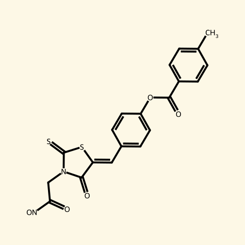 Cc1ccc(C(=O)Oc2ccc(/C=C3\SC(=S)N(CC(=O)N=O)C3=O)cc2)cc1